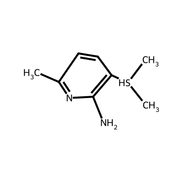 Cc1ccc([SH](C)C)c(N)n1